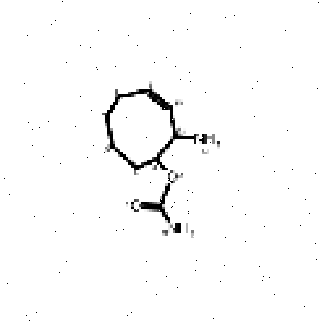 NC(=O)OC1CCCCC=CC1N